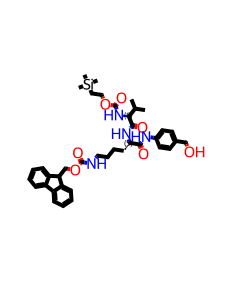 CC(C)[C@H](NC(=O)OCC[Si](C)(C)C)C(=O)N[C@@H](CCCCNC(=O)OCC1c2ccccc2-c2ccccc21)C(=O)Nc1ccc(CO)cc1